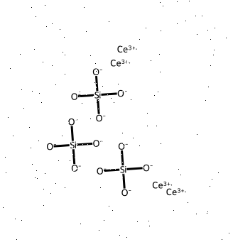 [Ce+3].[Ce+3].[Ce+3].[Ce+3].[O-][Si]([O-])([O-])[O-].[O-][Si]([O-])([O-])[O-].[O-][Si]([O-])([O-])[O-]